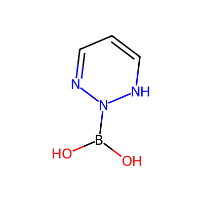 OB(O)N1N=CC=CN1